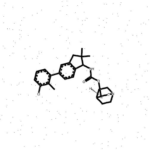 Cc1c(Cl)cccc1-c1ccc2c(c1)CC(C)(C)C2NC(=O)O[C@H]1CN2CCC1CC2